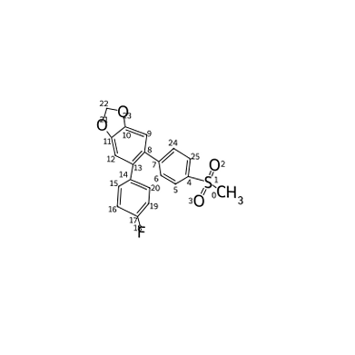 CS(=O)(=O)c1ccc(-c2cc3c(cc2-c2ccc(F)cc2)OCO3)cc1